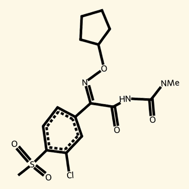 CNC(=O)NC(=O)C(=NOC1CCCC1)c1ccc(S(C)(=O)=O)c(Cl)c1